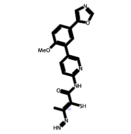 COc1ccc(-c2cnco2)cc1-c1ccc(NC(=O)/C(S)=C(\C)N=N)nc1